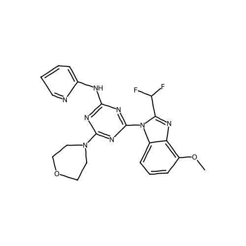 COc1cccc2c1nc(C(F)F)n2-c1nc(Nc2ccccn2)nc(N2CCOCC2)n1